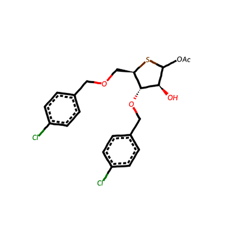 CC(=O)OC1S[C@H](COCc2ccc(Cl)cc2)[C@@H](OCc2ccc(Cl)cc2)[C@@H]1O